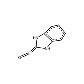 O=C=C1Nc2ccccc2N1